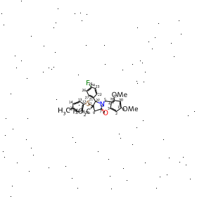 COc1ccc(CN2C(=O)CC(Sc3ccc(C)cc3)(C(=O)O)C2c2ccc(F)cc2)c(OC)c1